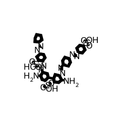 Nc1ccc(-c2cc(N=Nc3ccc(N=Nc4ccccc4)cc3S(=O)(=O)O)c(N)cc2S(=O)(=O)O)cc1N=Nc1ccc(N=Nc2ccc(S(=O)(=O)O)cc2)cc1